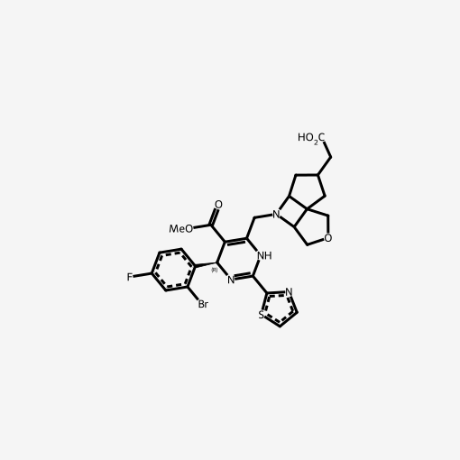 COC(=O)C1=C(CN2C3COCC34CC(CC(=O)O)CC24)NC(c2nccs2)=N[C@H]1c1ccc(F)cc1Br